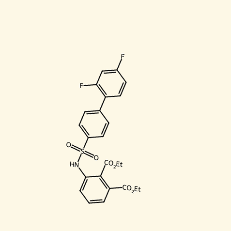 CCOC(=O)c1cccc(NS(=O)(=O)c2ccc(-c3ccc(F)cc3F)cc2)c1C(=O)OCC